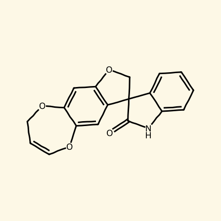 O=C1Nc2ccccc2C12COc1cc3c(cc12)OC=CCO3